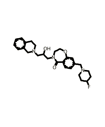 O=C1c2ccc(CN3CCC(F)CC3)cc2OCCN1CC(O)CN1CCc2ccccc2C1